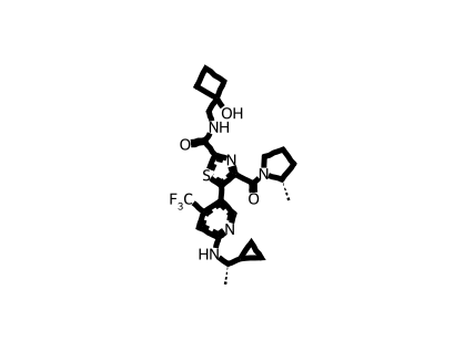 C[C@H](Nc1cc(C(F)(F)F)c(-c2sc(C(=O)NCC3(O)CCC3)nc2C(=O)N2CCC[C@@H]2C)cn1)C1CC1